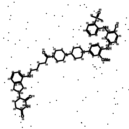 COc1cc(N2CCC(N3CCN(C(=O)CCCCNc4cccc5c4CN(C4CCC(=O)NC4=O)C5)CC3)CC2)ccc1Nc1ncc(Cl)c(Nc2ccccc2P(C)(C)=O)n1